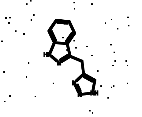 c1ccc2c(Cc3c[nH]nn3)n[nH]c2c1